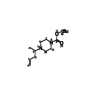 C=CCC(C)N1CCN(C(=O)OC(C)(C)C)CC1